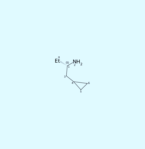 CC[C@H](N)CC1CC1